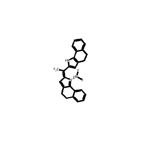 F[BH-](F)[N+]1=C2C(=C/C1=C(/c1cc3c([nH]1)-c1ccccc1CC3)C(F)(F)F)CCc1ccccc12